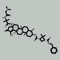 CC(C)C1=C2[C@H]3CCC4[C@@]5(C)CC[C@H](OC(=O)[C@H]6C[C@@H](C(=O)OCc7ccccc7)C6(C)C)[C@H](C)C5CC[C@@]4(C)[C@]3(C)CC[C@@]2(NC(=O)C(C)(C)NC(=O)CN(C)C)CC1=O